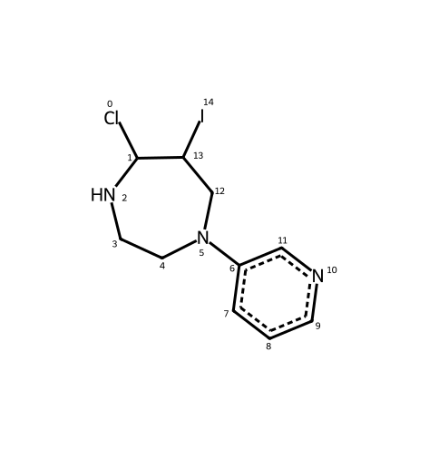 ClC1NCCN(c2cccnc2)CC1I